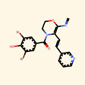 C=NC1=C(/C=C/c2cccnc2)N(C(=O)c2cc(Br)c(O)c(Br)c2)CCO1